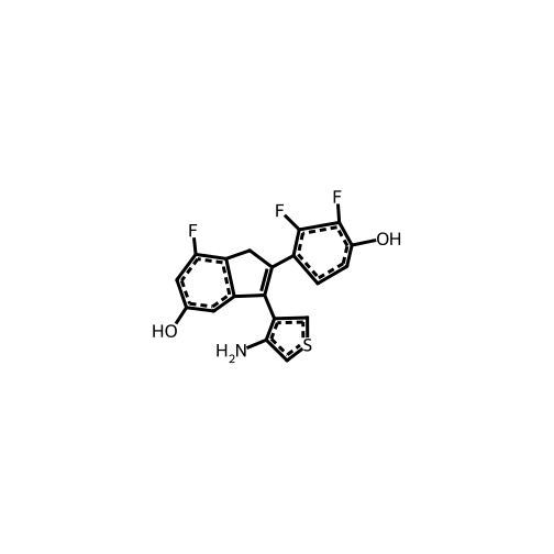 Nc1cscc1C1=C(c2ccc(O)c(F)c2F)Cc2c(F)cc(O)cc21